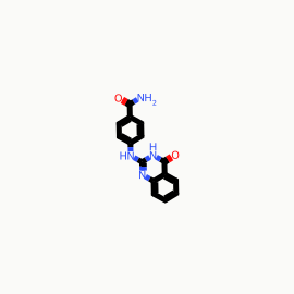 NC(=O)c1ccc(Nc2nc3ccccc3c(=O)[nH]2)cc1